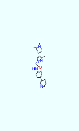 C=N/C(C)=C\C(=C/C)c1cn(CC(=O)Nc2ccc(-c3cnccn3)cn2)nc1C